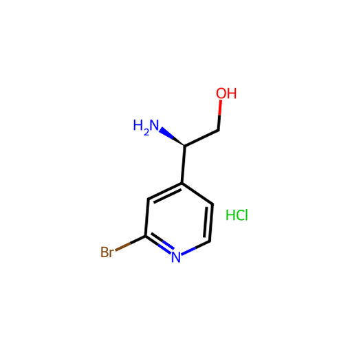 Cl.N[C@@H](CO)c1ccnc(Br)c1